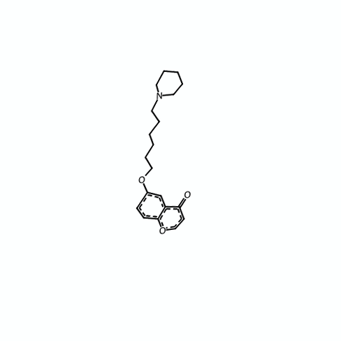 O=c1ccoc2ccc(OCCCCCCN3CCCCC3)cc12